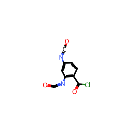 O=C=Nc1ccc(C(=O)Cl)c(N=C=O)c1